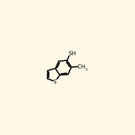 Cc1cc2sccc2cc1S